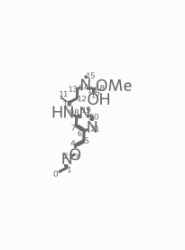 C/C=N/O/C=C/c1cc(N[C@@H](C)CCN(C)C(O)OC)ncn1